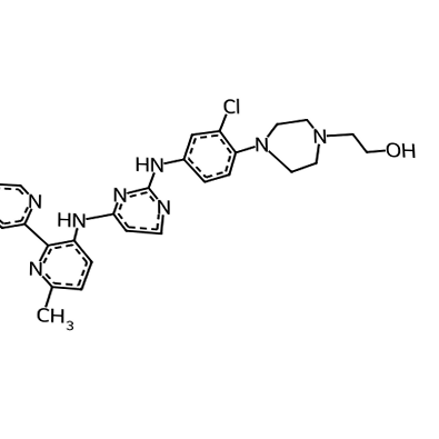 Cc1ccc(Nc2ccnc(Nc3ccc(N4CCN(CCO)CC4)c(Cl)c3)n2)c(-c2ccccn2)n1